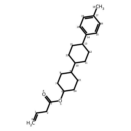 C=CCC(=O)OC1CCC(C2CCC(c3ccc(C)cc3)CC2)CC1